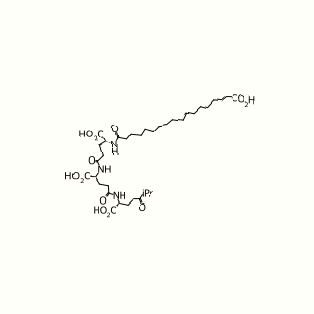 CC(C)C(=O)CC[C@H](NC(=O)CC[C@H](NC(=O)CC[C@H](NC(=O)CCCCCCCCCCCCCCCCC(=O)O)C(=O)O)C(=O)O)C(=O)O